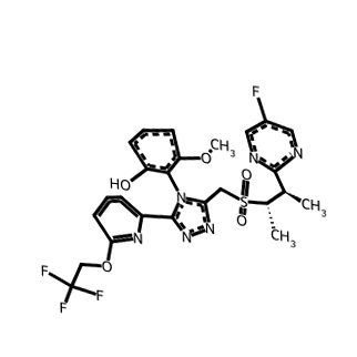 COc1cccc(O)c1-n1c(CS(=O)(=O)[C@@H](C)[C@H](C)c2ncc(F)cn2)nnc1C1=C=C=CC(OCC(F)(F)F)=N1